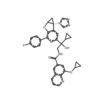 O=C(NCC(O)(c1cc2c(c(-c3ccc(F)cc3)n1)OC1C[C@@]21n1cnnc1)C1CC1)c1cc(OC2CC2)c2ncccc2c1